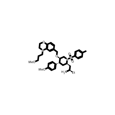 CC[C@@H](N)C[C@H]1C[C@H](c2ccc(OC)cc2)[C@@H](OCc2ccc3c(c2)N(CCCOC)CCO3)CN1S(=O)(=O)c1ccc(C)cc1